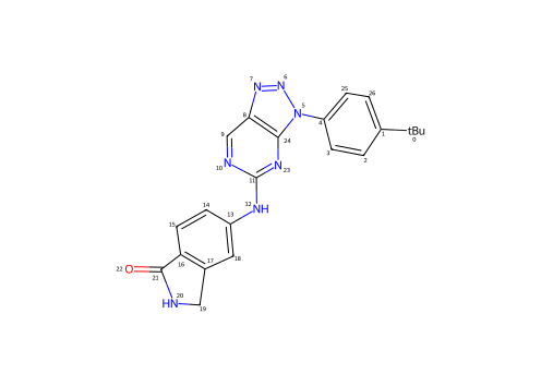 CC(C)(C)c1ccc(-n2nnc3cnc(Nc4ccc5c(c4)CNC5=O)nc32)cc1